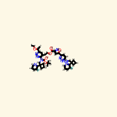 C=C(OCC)c1cc(CCOC(=O)c2cc(-c3ccc(NCC4(c5ncccc5F)CCC4)nn3)on2)c(N(CC2(c3ncccc3F)CCC2)C(=O)OC(C)(C)C)nn1